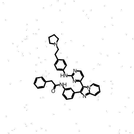 O=C(Cc1ccccc1)Nc1cccc(-c2nc3ccccn3c2-c2ccnc(Nc3ccc(CCN4CCCC4)cc3)n2)c1